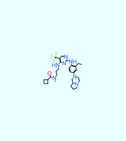 CCc1cc(N2CCN3CCCC3C2)ccc1Nc1ncc(C(F)(F)F)c(NCCCN(C)C(=O)C2CCC2)n1